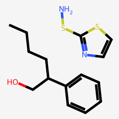 CCCCC(CO)c1ccccc1.NSc1nccs1